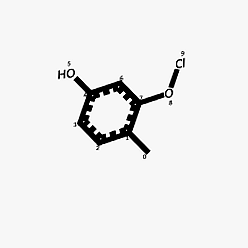 Cc1ccc(O)cc1OCl